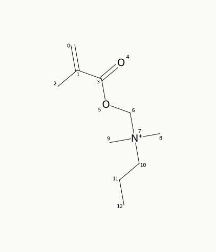 C=C(C)C(=O)OC[N+](C)(C)CCC